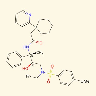 COc1ccc(S(=O)(=O)N(CC(C)C)C[C@@H](O)[C@@](C)(NC(=O)CC2(c3ccccn3)CCCCC2)c2ccccc2)cc1